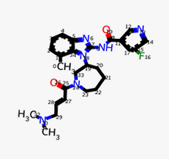 Cc1cccc2nc(NC(=O)c3cncc(F)c3)n(C3CCCCN(C(=O)C=CCN(C)C)C3)c12